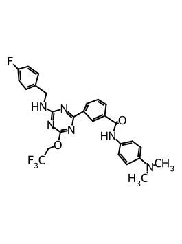 CN(C)c1ccc(NC(=O)c2cccc(-c3nc(NCc4ccc(F)cc4)nc(OCC(F)(F)F)n3)c2)cc1